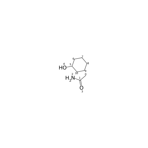 CC(N)=O.OC1CCCCC1